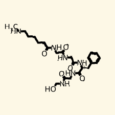 CNCCCCCC(=O)NCC(=O)NCC(=O)N[C@@H](Cc1ccccc1)C(=O)NCC(=O)NCO